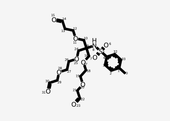 Cc1ccc(S(=O)(=O)NC(COCCC=O)(COCCOCC=O)COCCOCC=O)cc1